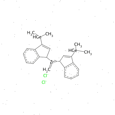 [CH2]=[Zr+2]([CH]1C=[C]([GeH]([CH3])[CH3])c2ccccc21)[CH]1C=[C]([GeH]([CH3])[CH3])c2ccccc21.[Cl-].[Cl-]